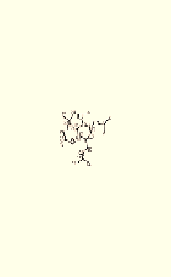 COC1[C@H](OC(C)C)OC(COC(C)C)[C@@H](OC(C)C)[C@@H]1OC(C)C